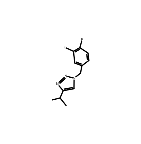 CC(C)c1cn(Cc2ccc(F)c(F)c2)nn1